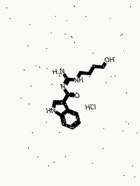 Cl.NC(=NC(=O)c1c[nH]c2ccccc12)NCCCCO